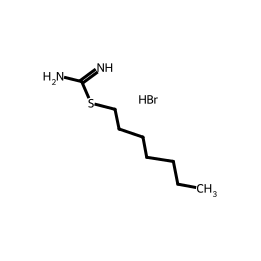 Br.CCCCCCCSC(=N)N